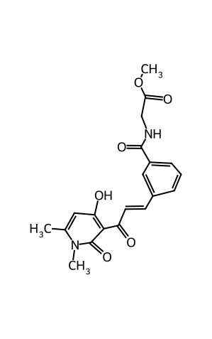 COC(=O)CNC(=O)c1cccc(C=CC(=O)c2c(O)cc(C)n(C)c2=O)c1